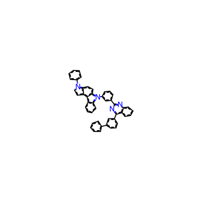 c1ccc(-c2cccc(-c3nc(-c4cccc(-n5c6ccccc6c6c7ccn(-c8ccccc8)c7ccc65)c4)nc4ccccc34)c2)cc1